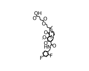 COc1c(=O)c(C(=O)NCc2ccc(F)cc2F)cn2ccn([C@H](C)CCOC(=O)CCC(=O)O)c(=O)c12